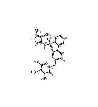 CCCC(=O)N(C)[C@H](C(=O)NCc1ccc(-c2ccccc2S(=O)(=O)Nc2noc(C)c2C)cc1F)C(C)C